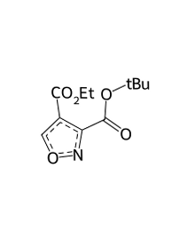 CCOC(=O)c1conc1C(=O)OC(C)(C)C